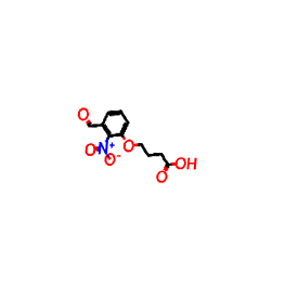 O=Cc1cccc(OCCCC(=O)O)c1[N+](=O)[O-]